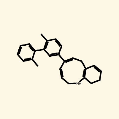 Cc1ccccc1-c1cc(C2=C/CC3=C(CCC=C3)NC/C=C\2)ccc1C